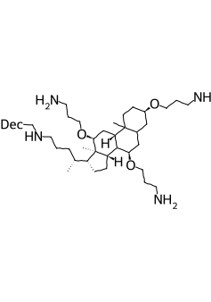 CCCCCCCCCCCNCCC[C@@H](C)[C@H]1CC[C@H]2C3[C@H](OCCCN)CC4C[C@H](OCCCN)CCC4(C)[C@H]3C[C@H](OCCCN)[C@]12C